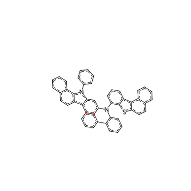 c1ccc(-c2ccccc2N(c2ccc3c4ccc5ccccc5c4n(-c4ccccc4)c3c2)c2cccc3c2sc2ccc4ccccc4c23)cc1